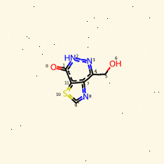 O=c1[nH]nc(CO)c2n[c]sc12